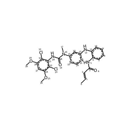 CC=CC(=O)Nc1ccccc1Nc1cc(N(C)C(=O)Nc2c(Cl)c(OC)cc(OC)c2Cl)ncn1